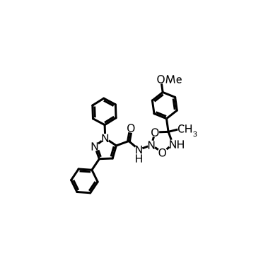 COc1ccc(C2(C)NON(NC(=O)c3cc(-c4ccccc4)nn3-c3ccccc3)O2)cc1